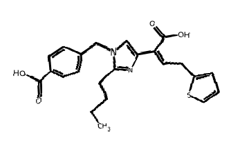 CCCCc1nc(/C(=C/Cc2cccs2)C(=O)O)cn1Cc1ccc(C(=O)O)cc1